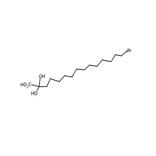 CC(C)CCCCCCCCCCCCCC(O)(O)C(=O)O